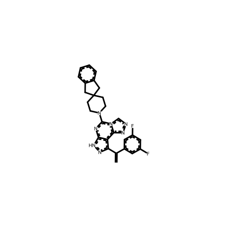 C=C(c1cc(F)cc(F)c1)c1n[nH]c2nc(N3CCC4(CC3)Cc3ccccc3C4)n3cnnc3c12